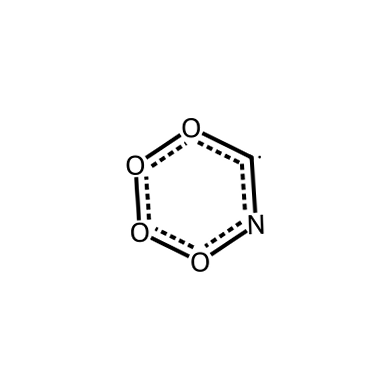 [c]1noooo1